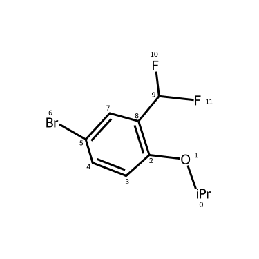 CC(C)Oc1ccc(Br)cc1C(F)F